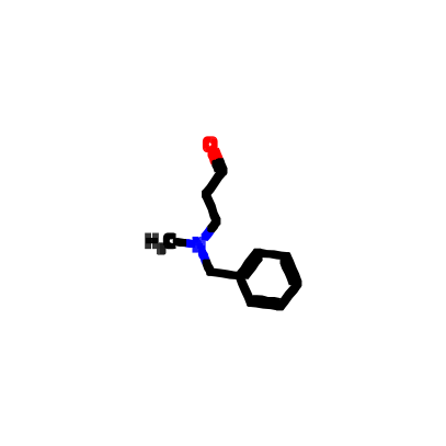 CN(CCC=O)Cc1ccccc1